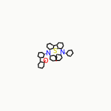 c1ccc(N(c2ccccc2)c2cccc3c2sc2c(N(c4ccccc4)c4cccc5c4oc4ccccc45)cccc23)cc1